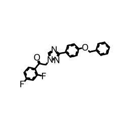 O=C(Cn1cnc(-c2ccc(OCc3ccccc3)cc2)n1)c1ccc(F)cc1F